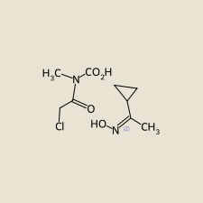 C/C(=N/O)C1CC1.CN(C(=O)O)C(=O)CCl